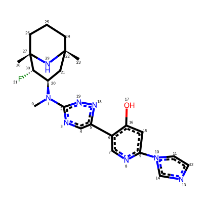 CN(c1ncc(-c2cnc(-n3ccnc3)cc2O)nn1)[C@@H]1C[C@@]2(C)CCC[C@](C)(N2)[C@H]1F